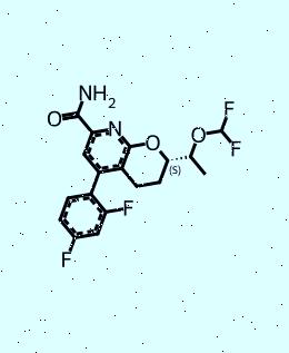 CC(OC(F)F)[C@@H]1CCc2c(-c3ccc(F)cc3F)cc(C(N)=O)nc2O1